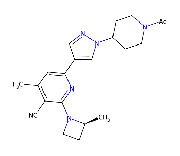 CC(=O)N1CCC(n2cc(-c3cc(C(F)(F)F)c(C#N)c(N4CC[C@@H]4C)n3)cn2)CC1